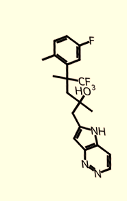 Cc1ccc(F)cc1C(C)(CC(C)(O)Cc1cc2nnccc2[nH]1)C(F)(F)F